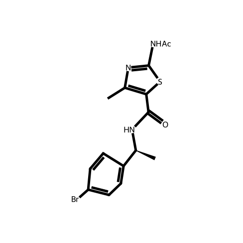 CC(=O)Nc1nc(C)c(C(=O)N[C@@H](C)c2ccc(Br)cc2)s1